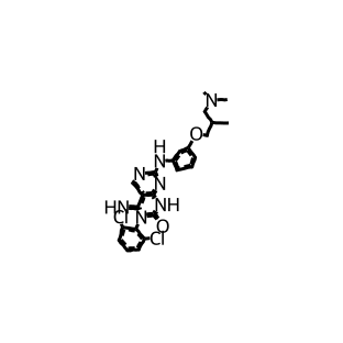 CC(COc1cccc(Nc2ncc3c(=N)n(-c4c(Cl)cccc4Cl)c(=O)[nH]c3n2)c1)CN(C)C